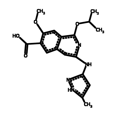 COc1cc2c(OC(C)C)nc(Nc3cc(C)[nH]n3)cc2cc1C(=O)O